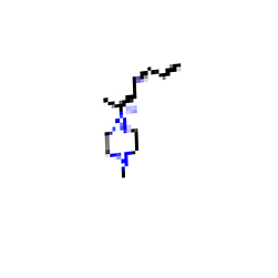 C=C/C=C\C=C(/C)N1CCN(C)CC1